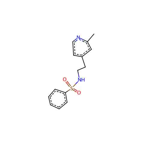 Cc1cc(CCNS(=O)(=O)c2ccccc2)ccn1